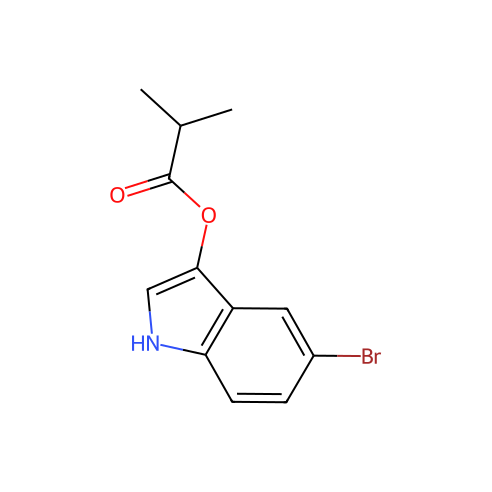 CC(C)C(=O)Oc1c[nH]c2ccc(Br)cc12